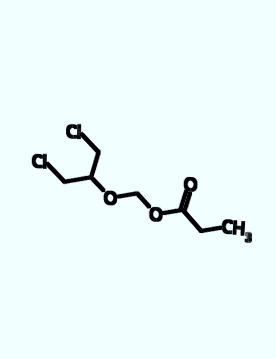 CCC(=O)OCOC(CCl)CCl